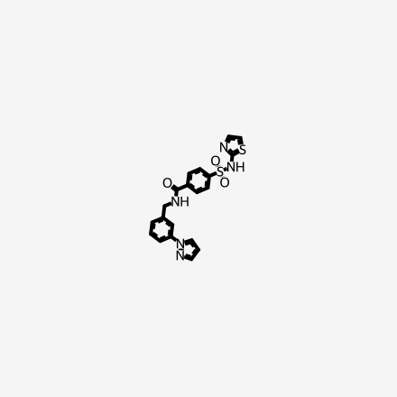 O=C(NCc1cccc(-n2cccn2)c1)c1ccc(S(=O)(=O)Nc2nccs2)cc1